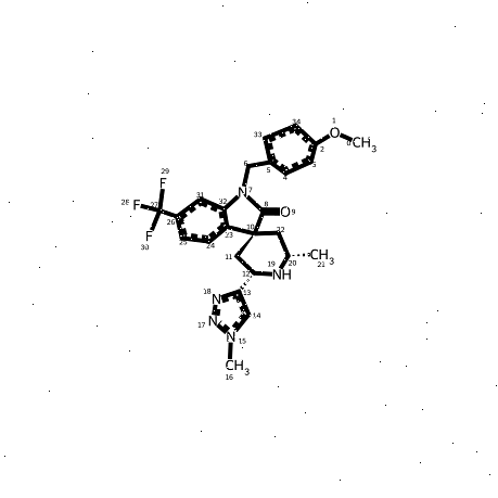 COc1ccc(CN2C(=O)[C@@]3(C[C@@H](c4cn(C)nn4)N[C@@H](C)C3)c3ccc(C(F)(F)F)cc32)cc1